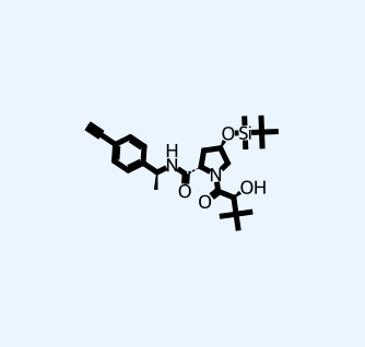 C#Cc1ccc([C@H](C)NC(=O)[C@@H]2C[C@@H](O[Si](C)(C)C(C)(C)C)CN2C(=O)[C@@H](O)C(C)(C)C)cc1